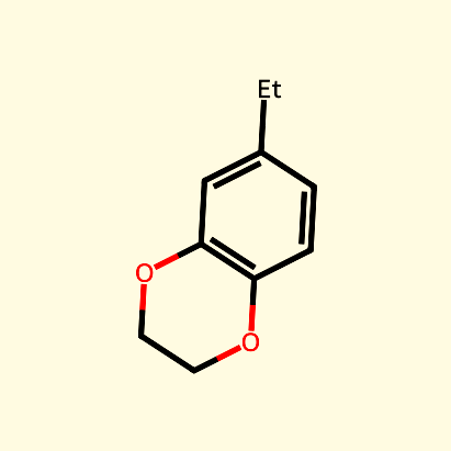 [CH2]Cc1ccc2c(c1)OCCO2